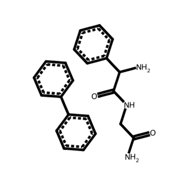 NC(=O)CNC(=O)C(N)c1ccccc1.c1ccc(-c2ccccc2)cc1